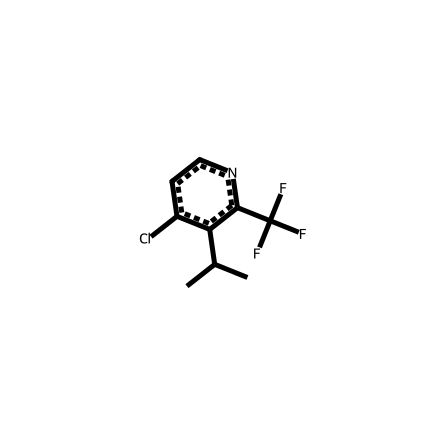 CC(C)c1c(Cl)ccnc1C(F)(F)F